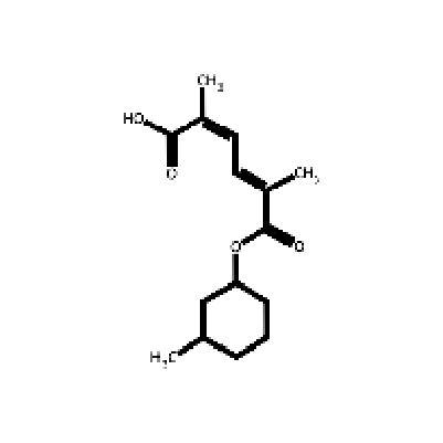 CC(=CC=C(C)C(=O)OC1CCCC(C)C1)C(=O)O